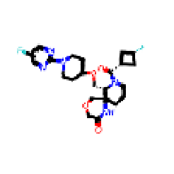 O=C1COC[C@@]2(CCCN(C(=O)[C@H]3C[C@@H](F)C3)[C@H]2COC2CCN(c3ncc(F)cn3)CC2)N1